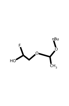 CCCCOC(C)OCC(O)F